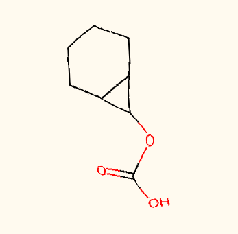 O=C(O)OC1C2CCCCC21